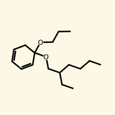 CCCCC(CC)COC1(OCCC)C=CC=CC1